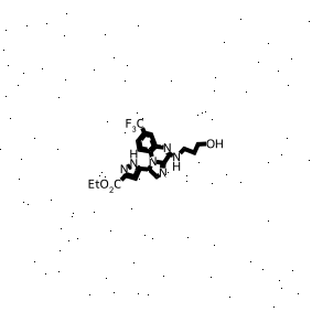 CCOC(=O)c1cc(C2CN=C3C(NCCCO)=Nc4cc(C(F)(F)F)ccc4N32)[nH]n1